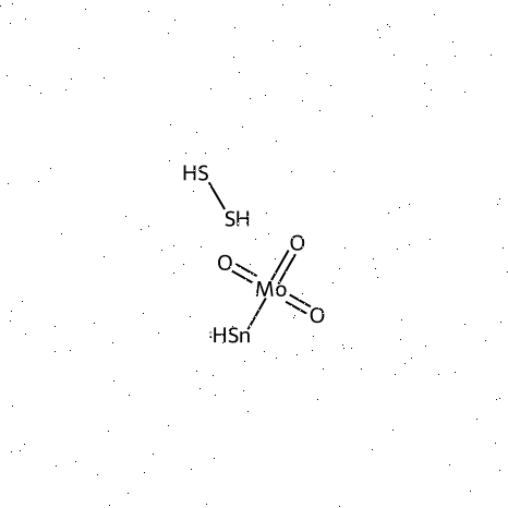 SS.[O]=[Mo](=[O])(=[O])[SnH]